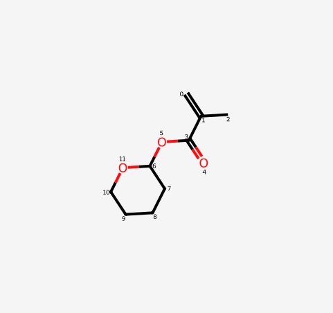 C=C(C)C(=O)OC1CCCCO1